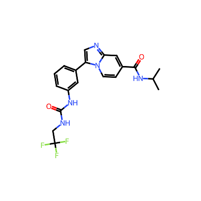 CC(C)NC(=O)c1ccn2c(-c3cccc(NC(=O)NCC(F)(F)F)c3)cnc2c1